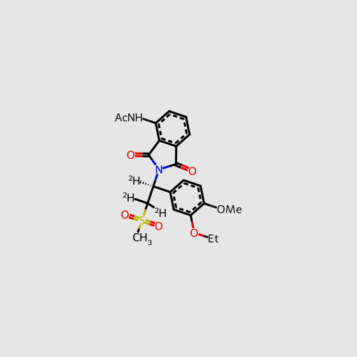 [2H]C([2H])([C@]([2H])(c1ccc(OC)c(OCC)c1)N1C(=O)c2cccc(NC(C)=O)c2C1=O)S(C)(=O)=O